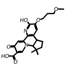 COCCCOc1cc2c(nc1O)-c1cc(=O)c(C(=O)O)cn1C1C2CCC1(C)C